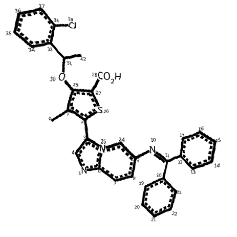 Cc1c(-c2cnc3ccc(N=C(c4ccccc4)c4ccccc4)cn23)sc(C(=O)O)c1OC(C)c1ccccc1Cl